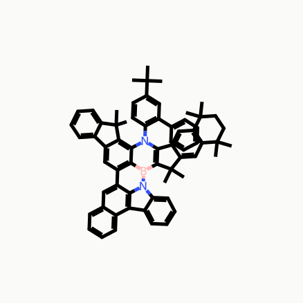 CC(C)(C)c1ccc(N2C3=C(B4c5c(cc6c(c52)C(C)(C)c2ccccc2-6)-c2cc5ccccc5c5c6ccccc6n4c25)C(C)(C)c2cc4c(cc23)C(C)(C)CCC4(C)C)c(-c2ccccc2)c1